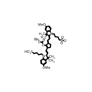 COc1ccc2c(c1)C(C)(C)C(/C=C/C1=C(OC(=O)OC(C)(C)C)C(=C/C=C3/N(CCCCS(=O)(=O)[O-])c4ccc(OC)cc4C3(C)C)/CC1)=[N+]2CCCCS(=O)(=O)O